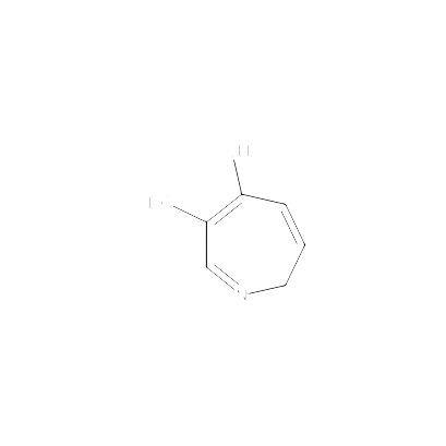 CC1=C(C)C=NCC=C1